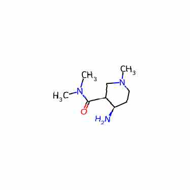 CN1CC[C@@H](N)C(C(=O)N(C)C)C1